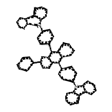 c1ccc(-c2ccc3c(-c4ccc(-n5c6ccccc6c6ccccc65)cc4)c4ccccc4c(-c4ccc(-n5c6ccccc6c6ccccc65)cc4)c3c2)cc1